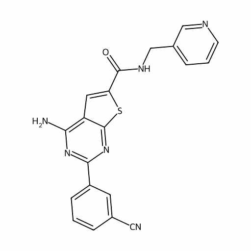 N#Cc1cccc(-c2nc(N)c3cc(C(=O)NCc4cccnc4)sc3n2)c1